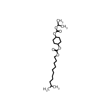 CC(C)CCCCCCCCCOC(=O)OC1CCC(OC(=O)OC(C)C)CC1